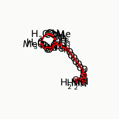 CO[C@H]1C[C@@H]2CCC[C@@](O)(O2)C(=O)C(=O)N2CCCC[C@H]2C(=O)O[C@H]([C@H](C)C[C@H]2CC[C@H](OC(=O)N3CCN(CCOCCOCCOCCOCCOCCOCCC(=O)N4CCc5cc(Cn6nc(-c7ccc8oc(N)nc8c7)c7c(N)ncnc76)ccc5C4)CC3)CC2)C[C@@H](O)[C@H](C)/C=C(\C)[C@@H](O)[C@@H](OC)C(=O)[C@H](C)C[C@H](C)/C=C/C=C/C=C/1C